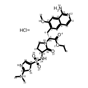 CCOC(=O)[C@@H](Cc1cc2ccnc(N)c2cc1OC)N1CC[C@H](NS(=O)(=O)c2cnc(N(C)C)s2)C1=O.Cl